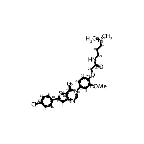 COc1cc(-n2cnc3cc(-c4ccc(Cl)cc4)sc3c2=O)ccc1OCC(=O)NCCCN(C)C